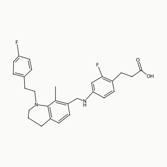 Cc1c(CNc2ccc(CCC(=O)O)c(F)c2)ccc2c1N(CCc1ccc(F)cc1)CCC2